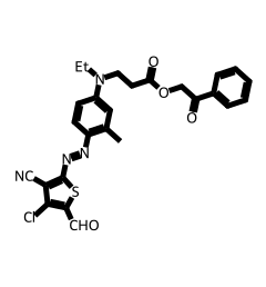 CCN(CCC(=O)OCC(=O)c1ccccc1)c1ccc(/N=N/c2sc(C=O)c(Cl)c2C#N)c(C)c1